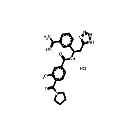 Cc1cc(C(=O)NC(Cc2nnn[nH]2)c2cccc(C(=N)N)c2)ccc1C(=O)N1CCCC1.Cl